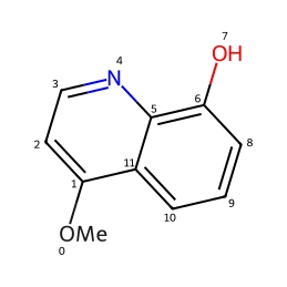 COc1ccnc2c(O)cccc12